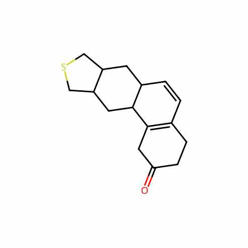 O=C1CCC2=C(C1)C1CC3CSCC3CC1C=C2